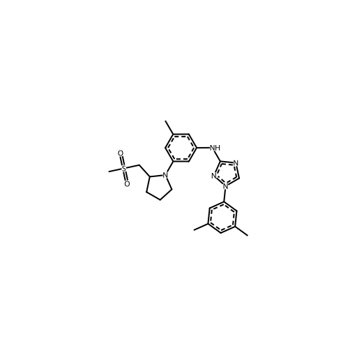 Cc1cc(Nc2ncn(-c3cc(C)cc(C)c3)n2)cc(N2CCCC2CS(C)(=O)=O)c1